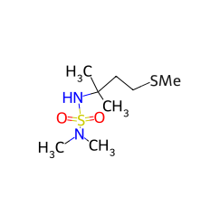 CSCCC(C)(C)NS(=O)(=O)N(C)C